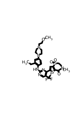 CCc1cc(N2CCN(CCOC)CC2)ccc1Nc1ncc(C(F)(F)F)c(-c2cc3c(s2)C(=O)N(C)CCS3(=O)=O)n1